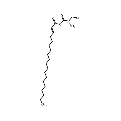 CCCCCCCCCCCCCCCCC=C[PH](=O)OC(=O)[C@@H](N)CO